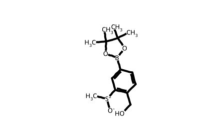 C[S+]([O-])c1cc(B2OC(C)(C)C(C)(C)O2)ccc1CO